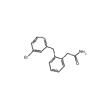 CCc1cccc(Cc2ccccc2CC(N)=O)c1